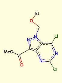 CCOCn1nc(C(=O)OC)c2nc(Cl)nc(Cl)c21